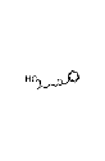 CC(CO)CCCOCc1ccccc1